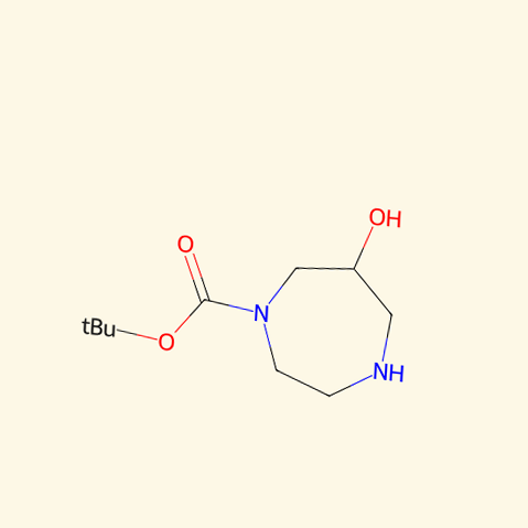 CC(C)(C)OC(=O)N1CCNCC(O)C1